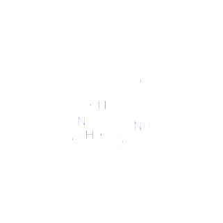 CC(C)(N=O)c1cc(Cl)c[nH]c1=O